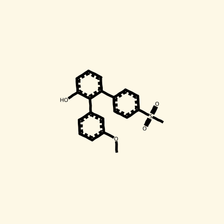 COc1cccc(-c2c(-c3ccc(S(C)(=O)=O)cc3)[c]ccc2O)c1